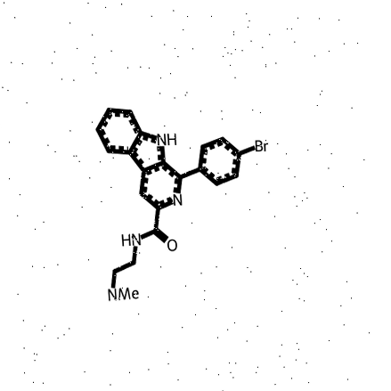 CNCCNC(=O)c1cc2c([nH]c3ccccc32)c(-c2ccc(Br)cc2)n1